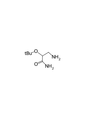 CC(C)(C)OC(CN)C(N)=O